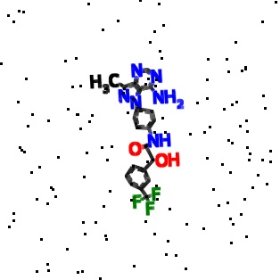 Cc1nn(-c2ccc(NC(=O)[C@H](O)c3cccc(C(F)(F)F)c3)cc2)c2c(N)ncnc12